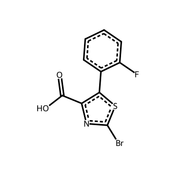 O=C(O)c1nc(Br)sc1-c1ccccc1F